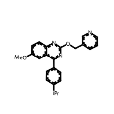 COc1ccc2nc(OCc3cccnc3)nc(-c3ccc(C(C)C)cc3)c2c1